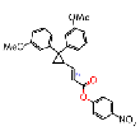 COc1cccc(C2(c3cccc(OC)c3)CC2/C=C/C(=O)Oc2ccc([N+](=O)[O-])cc2)c1